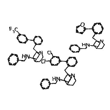 Clc1ccc(-c2ccccc2CC2C(NCc3ccccc3)C3CCN2CC3)cc1Cl.FC(F)(F)c1cccc(-c2ccccc2CC2C(NCc3ccccc3)C3CCN2CC3)c1.c1ccc(CNC2C3CCN(CC3)C2Cc2ccccc2-c2ccco2)cc1